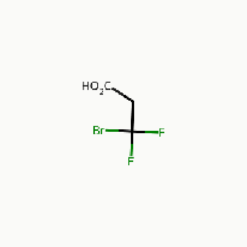 O=C(O)CC(F)(F)Br